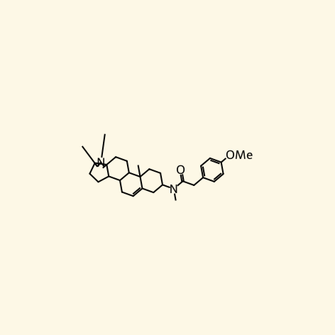 COc1ccc(CC(=O)N(C)C2CCC3(C)C(=CCC4C3CCC35CN(C)C(C)C3CCC45)C2)cc1